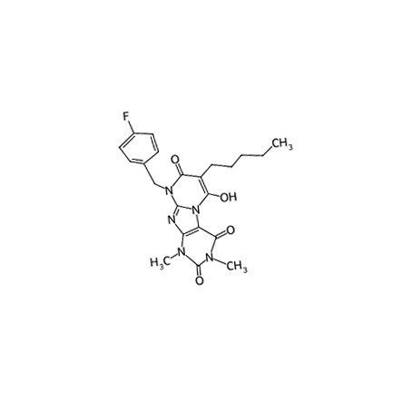 CCCCCc1c(O)n2c3c(=O)n(C)c(=O)n(C)c3nc2n(Cc2ccc(F)cc2)c1=O